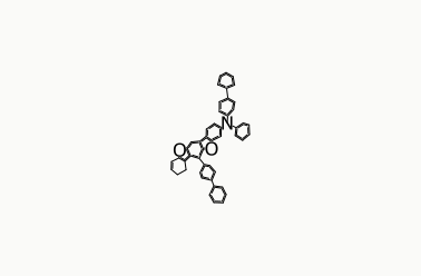 C1=Cc2oc3cc4c(oc5cc(N(c6ccccc6)c6ccc(-c7ccccc7)cc6)ccc54)c(-c4ccc(-c5ccccc5)cc4)c3c2CC1